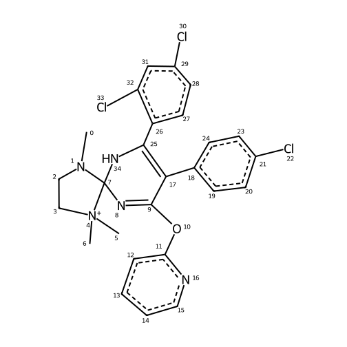 CN1CC[N+](C)(C)C12N=C(Oc1ccccn1)C(c1ccc(Cl)cc1)=C(c1ccc(Cl)cc1Cl)N2